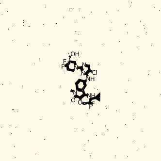 Cn1c(=O)c2c(c3cc(Nc4nc(N5CCC(F)(F)[C@H](CO)C5)ncc4Cl)ccc31)NC(C1CC1)C(F)(F)CO2